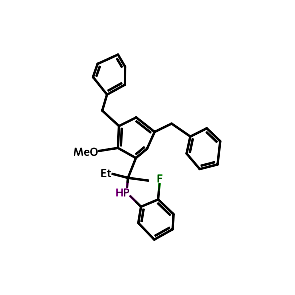 CCC(C)(Pc1ccccc1F)c1cc(Cc2ccccc2)cc(Cc2ccccc2)c1OC